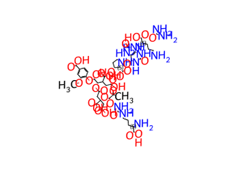 COc1cc(C(=O)O)ccc1OC(=O)C(OC(=O)CC(CC(=O)O)(OC(=O)C(C)=O)C(=O)O)C(CC(=O)O)C(=O)O.NC(=O)NCCC[C@H](N)C(=O)O.NC(N)=O.NCCC[C@H](N)C(=O)O.O=C(O)[C@H]1NCCC1O.O=c1[nH]c(=O)c2[nH]c(=O)[nH]c2[nH]1